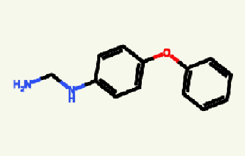 NCNc1ccc(Oc2ccccc2)cc1